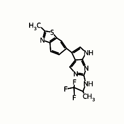 Cc1nc2ccc(-c3c[nH]c4nc(NC(C)C(F)(F)F)ncc34)cc2s1